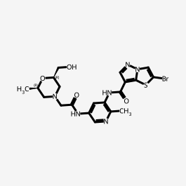 Cc1ncc(NC(=O)CN2C[C@H](CO)O[C@H](C)C2)cc1NC(=O)c1cnn2cc(Br)sc12